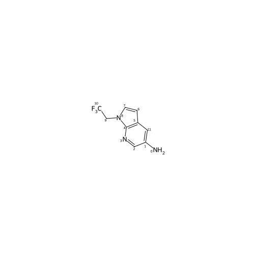 Nc1cnc2c(ccn2CC(F)(F)F)c1